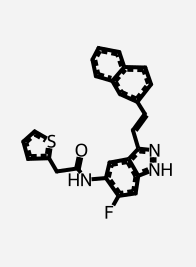 O=C(Cc1cccs1)Nc1cc2c(C=Cc3ccc4ccccc4c3)n[nH]c2cc1F